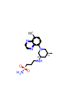 C[C@H]1C[C@@H](NCCCS(N)(=O)=O)CN(c2ccc(C#N)c3nccnc23)C1